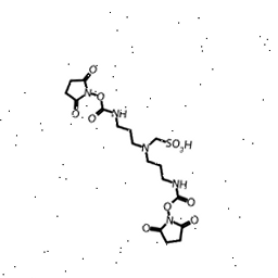 O=C(NCCCN(CCCNC(=O)ON1C(=O)CCC1=O)CS(=O)(=O)O)ON1C(=O)CCC1=O